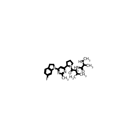 CNC(C)C(=O)N[C@H](C(=O)N1CCCC1c1cc(N2CCc3ccc(F)cc32)nc(C)n1)C(C)C